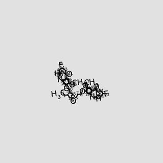 CCCCP(=O)(CCCOc1cc2c(cc1OC)C(=O)N1CC(F)C[C@H]1C=N2)CCCOc1cc2c(cc1OC)C(=O)N1CC(F)C[C@H]1C=N2